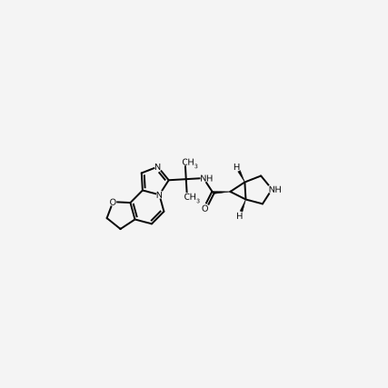 CC(C)(NC(=O)[C@H]1[C@@H]2CNC[C@@H]21)c1ncc2c3c(ccn12)CCO3